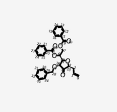 C=CC[C@@H]1O[C@H](C(COC(=O)c2ccccc2)OC(=O)c2ccccc2)[C@H](OCc2ccccc2)C1=O